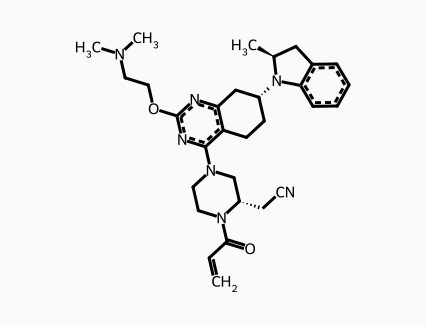 C=CC(=O)N1CCN(c2nc(OCCN(C)C)nc3c2CC[C@@H](N2c4ccccc4C[C@@H]2C)C3)C[C@@H]1CC#N